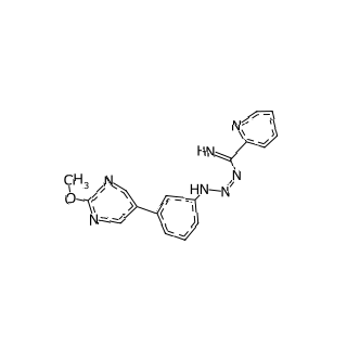 COc1ncc(-c2cccc(N/N=N\C(=N)c3ccccn3)c2)cn1